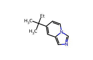 CCC(C)(C)c1ccn2cncc2c1